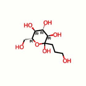 OCCCC1(O)O[C@H](CO)[C@@H](O)[C@H](O)[C@H]1O